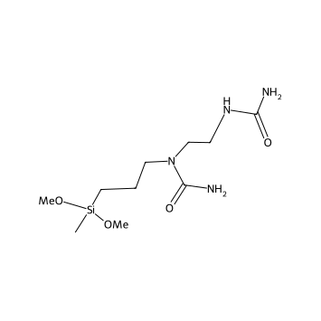 CO[Si](C)(CCCN(CCNC(N)=O)C(N)=O)OC